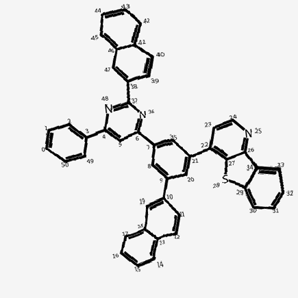 c1ccc(-c2cc(-c3cc(-c4ccc5ccccc5c4)cc(-c4ccnc5c4sc4ccccc45)c3)nc(-c3ccc4ccccc4c3)n2)cc1